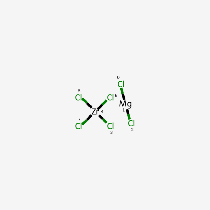 [Cl][Mg][Cl].[Cl][Zr]([Cl])([Cl])[Cl]